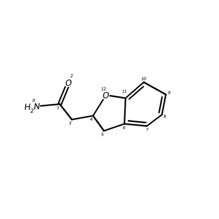 NC(=O)CC1Cc2ccccc2O1